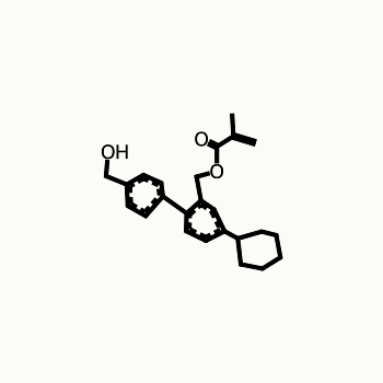 C=C(C)C(=O)OCc1cc(C2CCCCC2)ccc1-c1ccc(CO)cc1